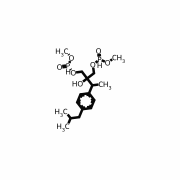 CO[PH](=O)OCC(O)(CO[PH](=O)OC)C(C)c1ccc(CC(C)C)cc1